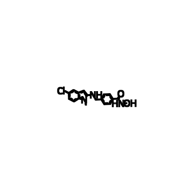 Cn1c(NCc2ccc(C(=O)NO)cc2)cc2cc(Cl)ccc21